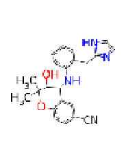 CC1(C)Oc2ccc(C#N)cc2[C@@H](Nc2ccccc2Cc2ncc[nH]2)[C@@H]1O